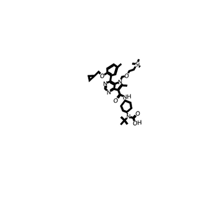 Cc1ccc(OCC2CC2)c(-c2ncnc3c(C(=O)N[C@H]4CC[C@H](N(C(=O)O)C(C)(C)C)CC4)c(C)n(COCC[Si](C)(C)C)c23)c1